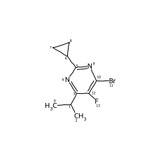 CC(C)c1nc(C2CC2)nc(Br)c1F